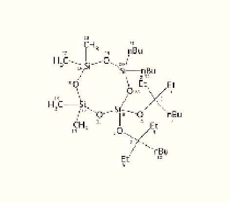 CCCCC(CC)(CC)O[Si]1(OC(CC)(CC)CCCC)O[Si](C)(C)O[Si](C)(C)O[Si](CCCC)(CCCC)O1